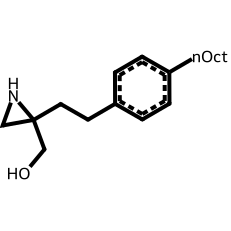 CCCCCCCCc1ccc(CCC2(CO)CN2)cc1